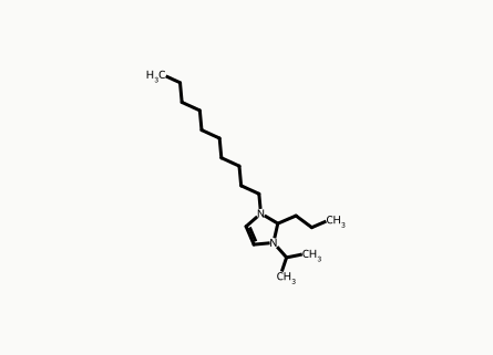 CCCCCCCCCCN1C=CN(C(C)C)C1CCC